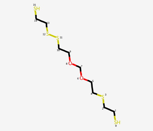 SCCSCCOCOCCSSCCS